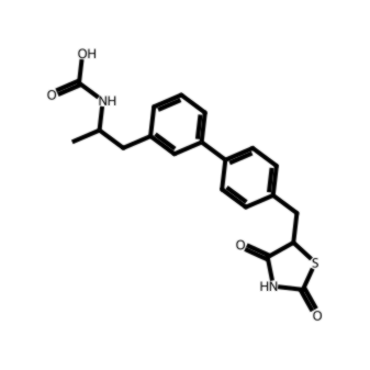 CC(Cc1cccc(-c2ccc(CC3SC(=O)NC3=O)cc2)c1)NC(=O)O